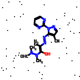 C/C(N=Nc1c(C#N)cnn1-c1ncccn1)=C(/O)N(C)N(C)C=O